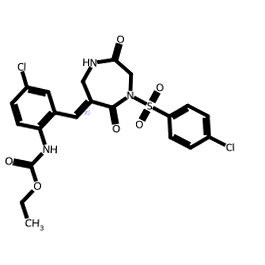 CCOC(=O)Nc1ccc(Cl)cc1/C=C1\CNC(=O)CN(S(=O)(=O)c2ccc(Cl)cc2)C1=O